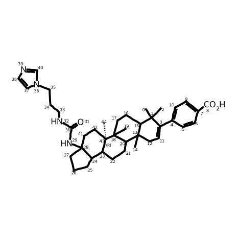 CC1(C)C(c2ccc(C(=O)O)cc2)=CCC2(C)C1CCC1(C)C2CCC2C3CCCC3(NC(=O)NCCCn3ccnc3)CC[C@]21C